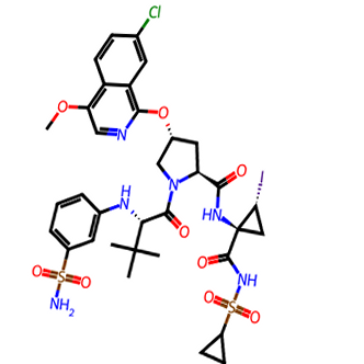 COc1cnc(O[C@@H]2C[C@@H](C(=O)N[C@]3(C(=O)NS(=O)(=O)C4CC4)C[C@H]3I)N(C(=O)[C@@H](Nc3cccc(S(N)(=O)=O)c3)C(C)(C)C)C2)c2cc(Cl)ccc12